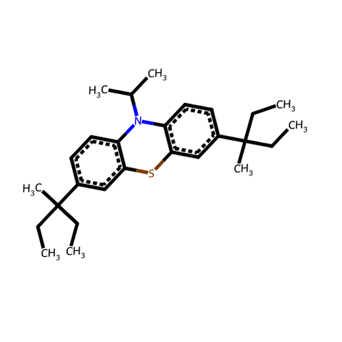 CCC(C)(CC)c1ccc2c(c1)Sc1cc(C(C)(CC)CC)ccc1N2C(C)C